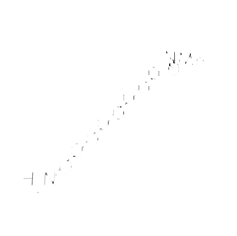 CNC(=O)CCOCCOCCOCCOCCOCCOCCOCCOCCN